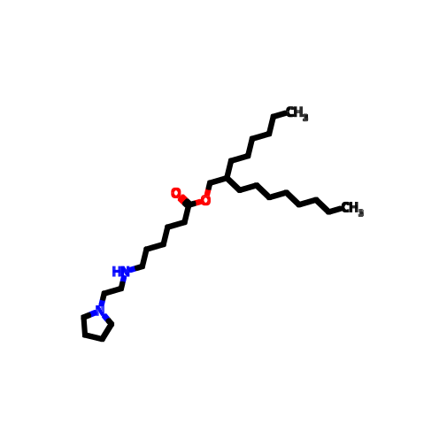 CCCCCCCCC(CCCCCC)COC(=O)CCCCCNCCN1CCCC1